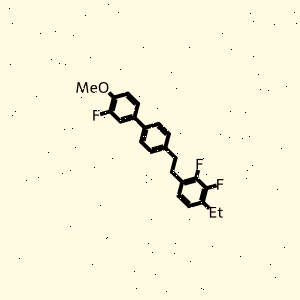 CCc1ccc(CCc2ccc(-c3ccc(OC)c(F)c3)cc2)c(F)c1F